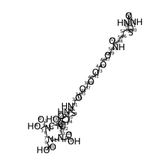 O=CC(CO)N1CCN(CC(=O)O)CCN(CC(=O)O)CC(Cc2ccc(NC(=S)NCCOCCOCCOCCOCCOCCOCCNC(=O)CCCCC3SCC4NC(=O)NC43)cc2)N(CC(=O)O)CC1